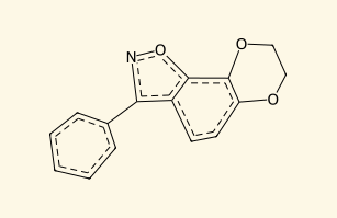 c1ccc(-c2noc3c4c(ccc23)OCCO4)cc1